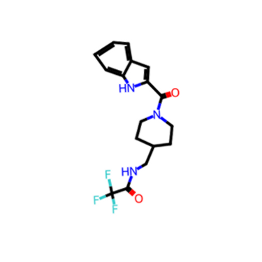 O=C(c1cc2ccccc2[nH]1)N1CCC(CNC(=O)C(F)(F)F)CC1